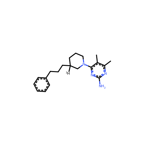 [2H]C1(CCCc2ccccc2)CCCN(c2nc(N)nc(C)c2C)C1